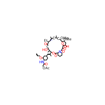 C=CCOC1CC(C=C(C)C2OC(=O)C3CCCCN3C(=O)C(=O)C3(O)OC(C(OC)CC(C)C/C(C)=C/C(CC)C(=O)CC(O)C2C)C(OC)CC3C)CCC1NC(=O)COC(C)=O